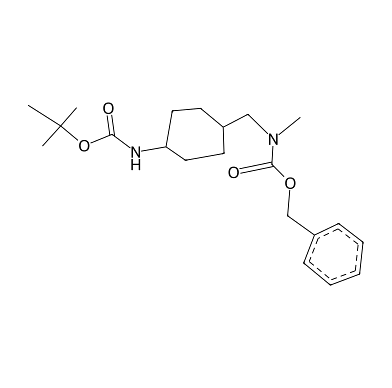 CN(CC1CCC(NC(=O)OC(C)(C)C)CC1)C(=O)OCc1ccccc1